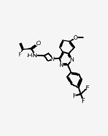 C=C(F)C(=O)NC1CN(c2nc(-c3ccc(C(F)(F)F)cc3)nc3cc(OC)ccc23)C1